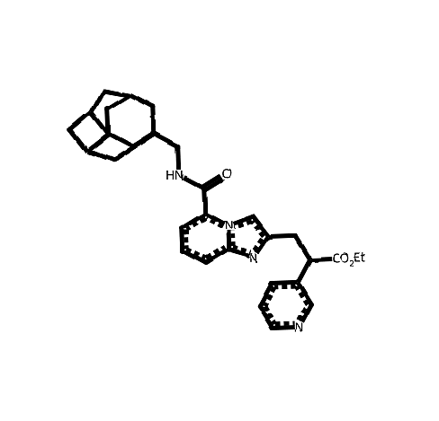 CCOC(=O)C(Cc1cn2c(C(=O)NCC34CC5CC6CC(C3)C6(C5)C4)cccc2n1)c1cccnc1